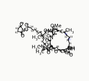 COCC(C)(CCC(=O)N(C)[C@@H](C)C(=O)O[C@H]1CC(=O)N(C)c2cc(cc(OC)c2Cl)C/C(C)=C/C=C/C[C@@]2(O)CC(OC(=O)N2)C2(C)C[C@@]1(C)O2)SSCCCC(=O)ON1C(=O)CCC1=O